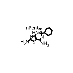 CCCCCSC1(C2CCCCC2)N=C(N)c2sc(N)nc2N1